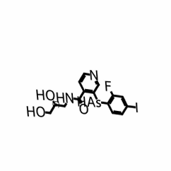 O=C(NC[C@H](O)CO)c1ccncc1[AsH]c1ccc(I)cc1F